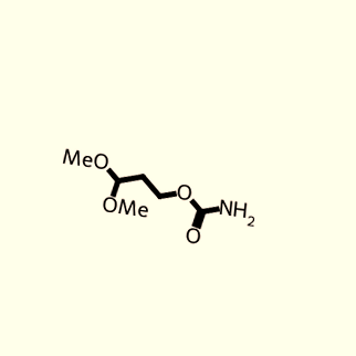 COC(CCOC(N)=O)OC